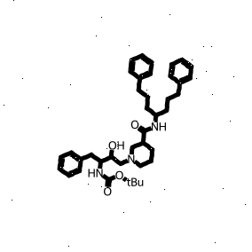 CC(C)(C)OC(=O)NC(Cc1ccccc1)C(O)CN1CCCC(C(=O)NC(CCCc2ccccc2)CCCc2ccccc2)C1